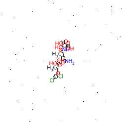 CC(=Cc1ccc(O[C@@H]2O[C@H](C(C)=CCOc3ccc(Cl)cc3Cl)[C@@H](O)[C@@H]2O)c(N)c1)C(=O)N[C@@H]1[C@H](O)[C@@H](O)[C@H]2OCO[C@H]2[C@@H]1O